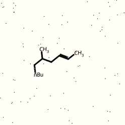 CC=CCC(C)CCCCC